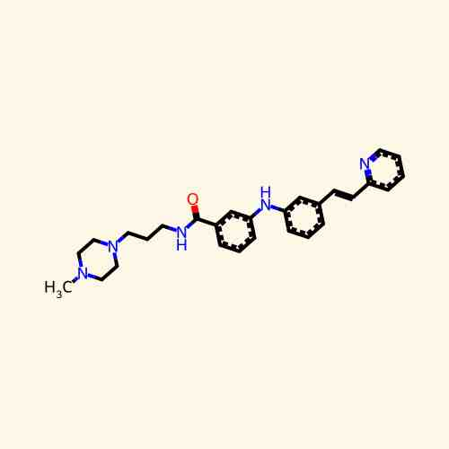 CN1CCN(CCCNC(=O)c2cccc(Nc3cccc(/C=C/c4ccccn4)c3)c2)CC1